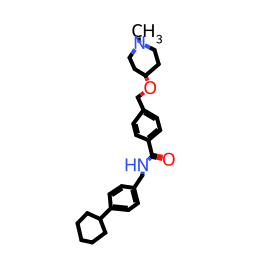 CN1CCC(OCc2ccc(C(=O)NCc3ccc(C4CCCCC4)cc3)cc2)CC1